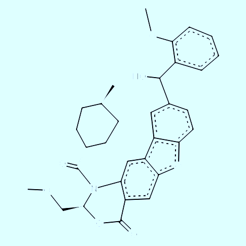 COC[C@@H]1OC(=O)c2cc3oc4ccc(C(O)c5ccccc5OC)cc4c3cc2N1C(=O)[C@H]1CC[C@H](C)CC1